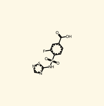 O=C(O)c1ccc(S(=O)(=O)Nc2ncns2)c(F)c1